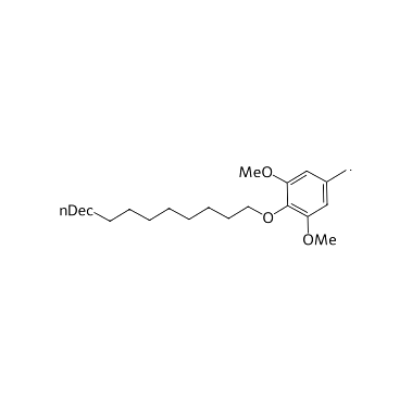 [CH2]c1cc(OC)c(OCCCCCCCCCCCCCCCCCC)c(OC)c1